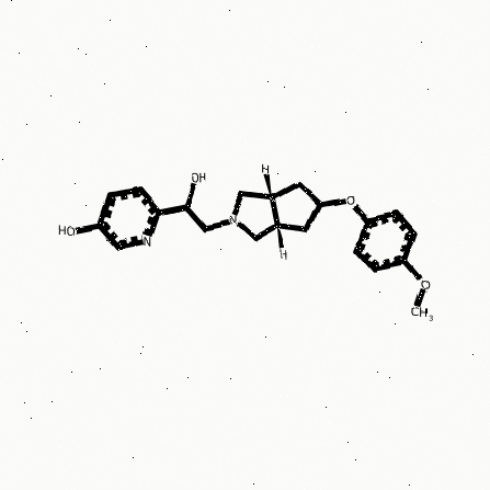 COc1ccc(OC2C[C@@H]3CN(CC(O)c4ccc(O)cn4)C[C@@H]3C2)cc1